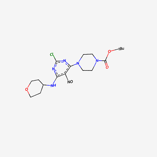 CC(C)(C)OC(=O)N1CCN(c2nc(Cl)nc(NC3CCOCC3)c2N=O)CC1